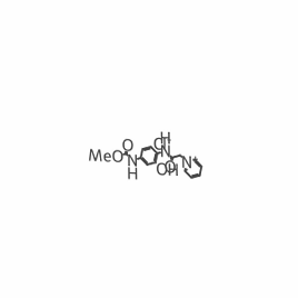 COC(=O)Nc1ccc(NC(=O)C[n+]2ccccc2)c(O)c1.[Cl-]